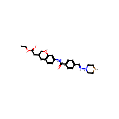 CCOC(=O)CC1COc2cc(NC(=O)c3ccc(C=NN4CCSCC4)cc3)ccc2C1